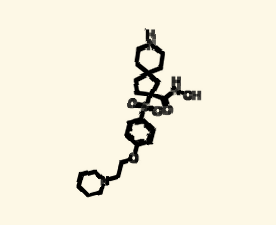 O=C(NO)C1(S(=O)(=O)c2ccc(OCCN3CCCCC3)cc2)CCC2(CCNCC2)C1